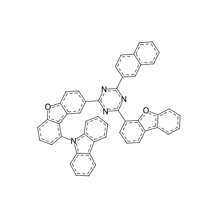 c1ccc2cc(-c3nc(-c4ccc5oc6cccc(-n7c8ccccc8c8ccccc87)c6c5c4)nc(-c4cccc5c4oc4ccccc45)n3)ccc2c1